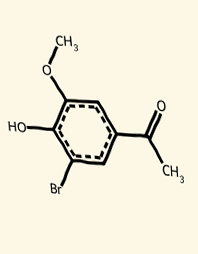 COc1cc(C(C)=O)cc(Br)c1O